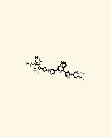 CCC(CC)n1cc(-c2nc(-c3cnn([C@H]4C[C@H](OC(=O)C(C)(C)C)C4)c3)cn3nccc23)cn1